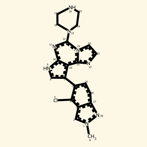 Cn1cc2c(Cl)c(-c3c[nH]c4nc(N5CCNCC5)n5ccnc5c34)ccc2n1